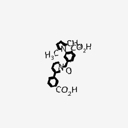 Cc1ccc(C)n1-c1cc(C(=O)N2CCC=C(c3cccc(C(=O)O)c3)C2)ccc1C(=O)O